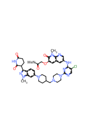 CNC(=O)COc1cc2cc(Nc3nc(N4CCN(CC5CCN(c6ccc7c(C8CCC(=O)NC8=O)nn(C)c7c6)CC5)CC4)ncc3Cl)cnc2n(C)c1=O